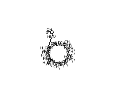 CC[C@H]1NC(=O)[C@H]([C@H](O)[C@H](C)CCCCCCCNC(=O)c2cccc(C(=O)O)c2)N(C)C(=O)[C@@H](C(C)C)N(C)C(=O)[C@@H](CC(C)C)N(C)C(=O)[C@H](CC(C)C)N(C)C(=O)[C@H](C)NC(=O)[C@@H](C)NC(=O)[C@@H](CC(C)C)N(C)C(=O)[C@@H](C(C)C)NC(=O)[C@H](CC(C)C)N(C)C(=O)CN(C)C1=O